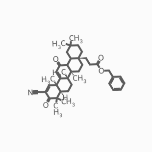 CC1(C)CC[C@]2(CCC(=O)OCc3ccccc3)CC[C@]3(C)C(C(=O)C=C4[C@@]5(C)C=C(C#N)C(=O)C(C)(C)[C@@H]5CC[C@]43C)C2C1